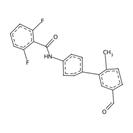 Cc1ccc(C=O)cc1-c1ccc(NC(=O)c2c(F)cccc2F)cc1